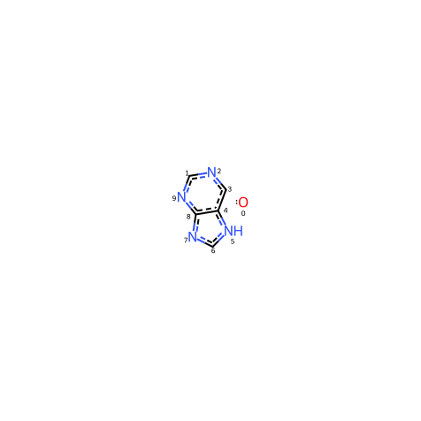 [O].c1ncc2[nH]cnc2n1